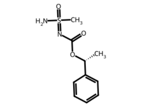 C[C@@H](OC(=O)N=S(C)(N)=O)c1ccccc1